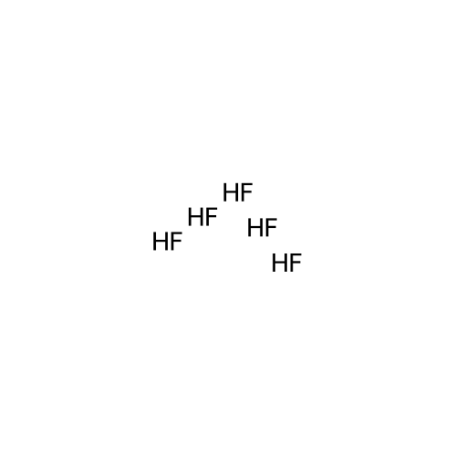 F.F.F.F.F